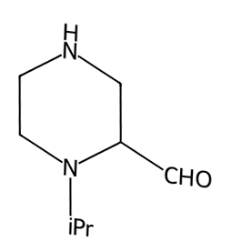 CC(C)N1CCNCC1C=O